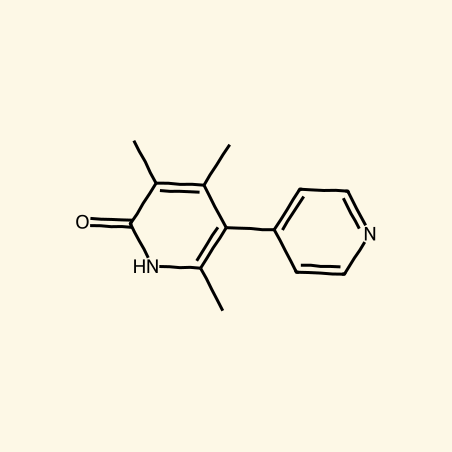 Cc1[nH]c(=O)c(C)c(C)c1-c1ccncc1